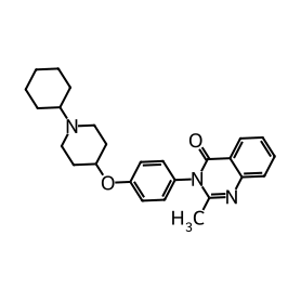 Cc1nc2ccccc2c(=O)n1-c1ccc(OC2CCN(C3CCCCC3)CC2)cc1